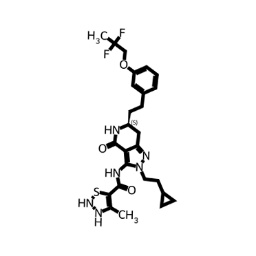 CC1=C(C(=O)Nc2c3c(nn2CCC2CC2)C[C@H](CCc2cccc(OCC(C)(F)F)c2)NC3=O)SNN1